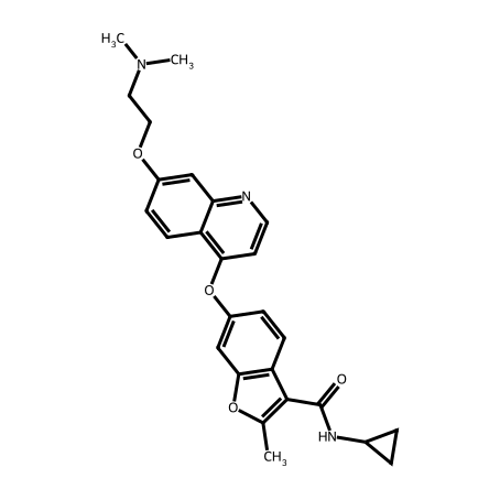 Cc1oc2cc(Oc3ccnc4cc(OCCN(C)C)ccc34)ccc2c1C(=O)NC1CC1